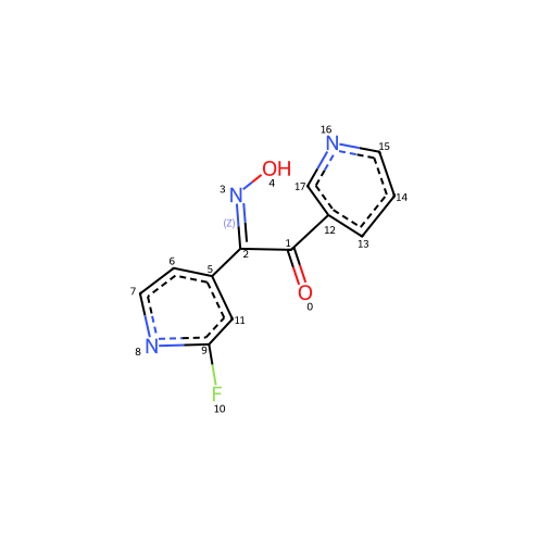 O=C(/C(=N\O)c1ccnc(F)c1)c1cccnc1